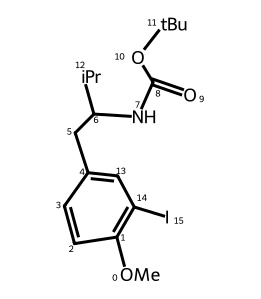 COc1ccc(CC(NC(=O)OC(C)(C)C)C(C)C)cc1I